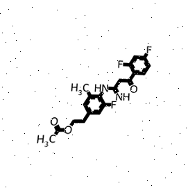 CC(=O)OCCc1cc(C)c(NC(=N)CC(=O)c2ccc(F)cc2F)c(F)c1